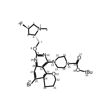 CN1C[C@H](F)C[C@H]1COc1nc(N2CCN(C(=O)OC(C)(C)C)CC2)c2c3c(c(Br)cc2n1)CCCO3